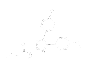 CCCC(=O)Nc1nc(-c2ccc(OC)cc2)c(-c2cc[n+]([O-])cc2)s1